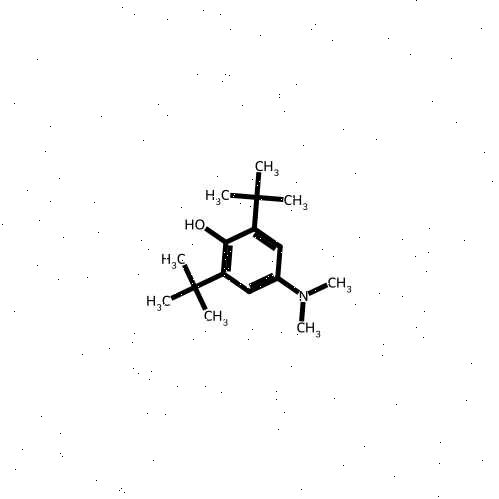 CN(C)c1cc(C(C)(C)C)c(O)c(C(C)(C)C)c1